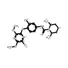 COc1nc(OC)c(Oc2ccc(NC(=S)N3C(C)CCCC3C)cc2Cl)nc1Cl